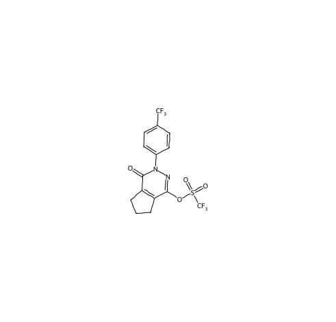 O=c1c2c(c(OS(=O)(=O)C(F)(F)F)nn1-c1ccc(C(F)(F)F)cc1)CCC2